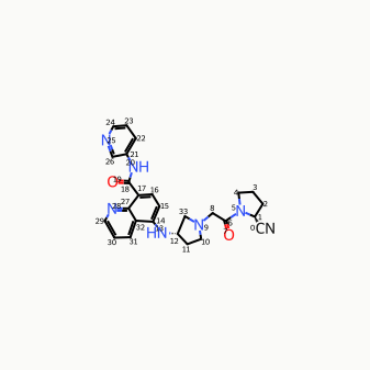 N#C[C@@H]1CCCN1C(=O)CN1CC[C@H](Nc2ccc(C(=O)Nc3cccnc3)c3ncccc23)C1